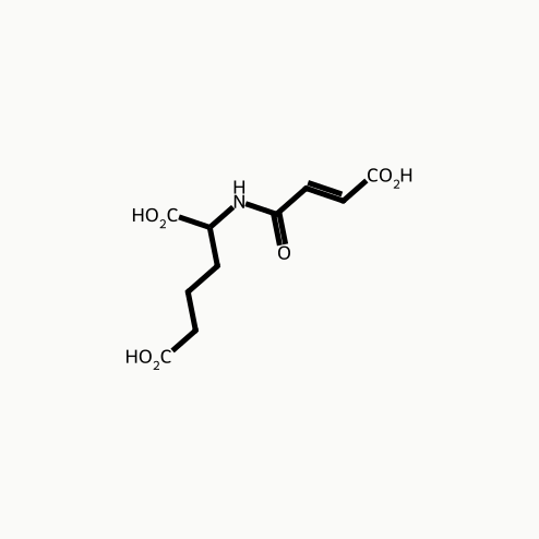 O=C(O)C=CC(=O)NC(CCCC(=O)O)C(=O)O